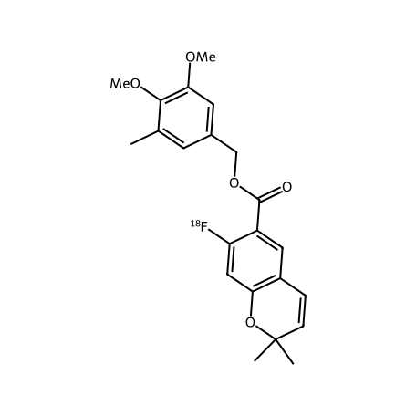 COc1cc(COC(=O)c2cc3c(cc2[18F])OC(C)(C)C=C3)cc(C)c1OC